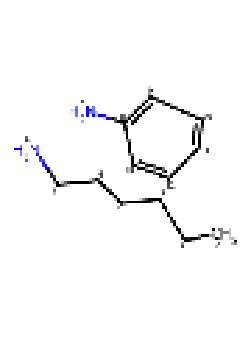 CCCCCCN.Nc1ccccc1